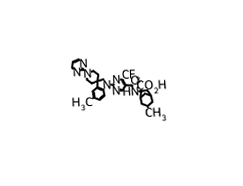 Cc1ccc2c(c1)C1(CCN(c3ncccn3)CC1)CN2c1ncc(C(=O)NC2(C(=O)O)CC3CC(C)CC2C3)c(C(F)(F)F)n1